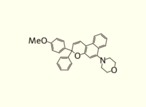 COc1ccc(C2(c3ccccc3)C=Cc3c(cc(N4CCOCC4)c4ccccc34)O2)cc1